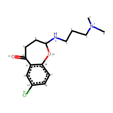 CN(C)CCCNC1CCC(=O)c2cc(Cl)ccc2O1